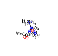 CCCCN(CCCC[N+](C)(C)C)C(=O)CN1C[C@H](c2cc(OC)c3c(c2)OCO3)[C@@H](C(=O)O)[C@@H]1CCc1ncccn1